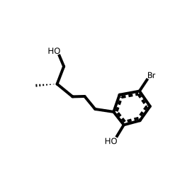 C[C@H](CO)CCCc1cc(Br)ccc1O